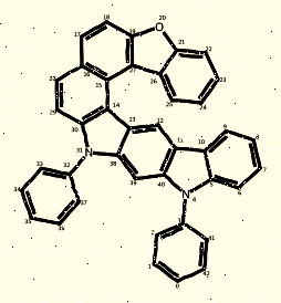 c1ccc(-n2c3ccccc3c3cc4c5c6c(ccc7oc8ccccc8c76)ccc5n(-c5ccccc5)c4cc32)cc1